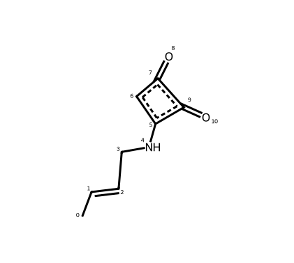 C/C=C/CNc1cc(=O)c1=O